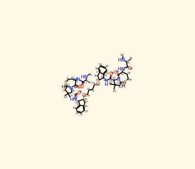 CN[C@@H](C)C(=O)N[C@H]1CCS[C@H]2CC(C)(C)[C@@H](C(=O)N[C@H]3c4ccccc4C[C@H]3OCCCCO[C@@H]3Cc4ccccc4[C@@H]3NC(=O)[C@H]3N4C(=O)[C@@H](NC(=O)[C@H](C)NC)CCS[C@H]4CC3(C)C)N2C1=O